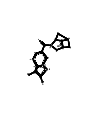 Cc1c(Br)nn2cc(C(=O)N3CC4CC5CC3[C@H]54)cnc12